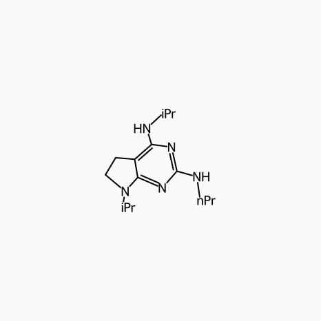 CCCNc1nc(NC(C)C)c2c(n1)N(C(C)C)CC2